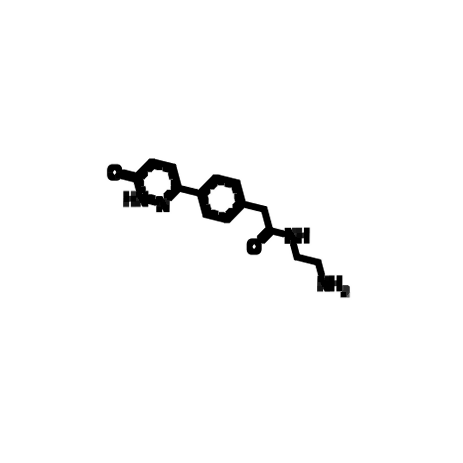 NCCNC(=O)Cc1ccc(-c2ccc(=O)[nH]n2)cc1